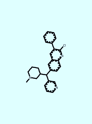 CN1CCCC(C(c2cccnc2)c2ccc3nc(Cl)c(-c4ccccc4)cc3c2)C1